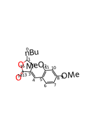 CCCCC1CC(=Cc2ccc(OC)cc2OC)C(=O)O1